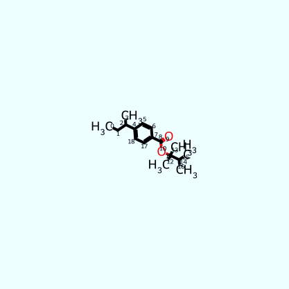 CCC(C)c1ccc(C(=O)OC(C)(C)C(C)C)cc1